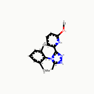 CCOc1cccc(-c2nnc(C)n2-c2c(OC)cccc2OC)n1